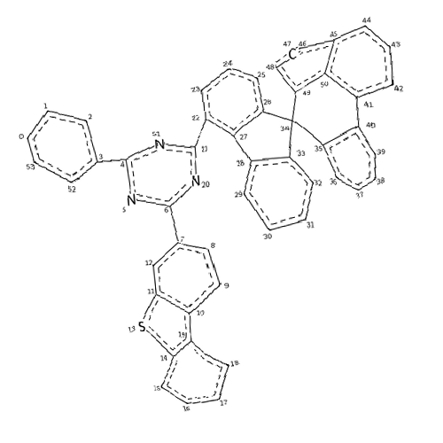 c1ccc(-c2nc(-c3ccc4c(c3)sc3ccccc34)nc(-c3cccc4c3-c3ccccc3C43c4ccccc4-c4cccc5cccc3c45)n2)cc1